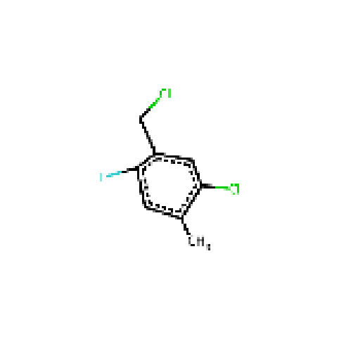 Cc1cc(F)c(CCl)cc1Cl